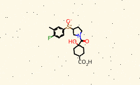 Cc1cc([S+]([O-])C2CCN(C(=O)C3(O)CCC(C(=O)O)CC3)C2)ccc1F